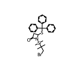 CC(C)(CBr)[Si](C)(C)N1C(=O)CC1SC(c1ccccc1)(c1ccccc1)c1ccccc1